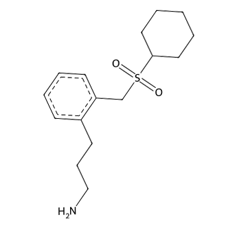 NCCCc1ccccc1CS(=O)(=O)C1CCCCC1